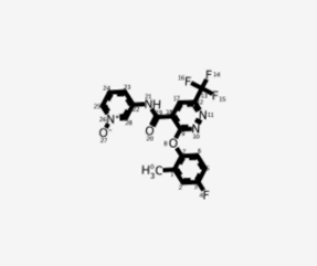 Cc1cc(F)ccc1Oc1nnc(C(F)(F)F)cc1C(=O)Nc1ccc[n+]([O-])c1